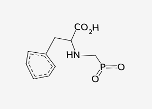 O=C(O)C(Cc1ccccc1)NCP(=O)=O